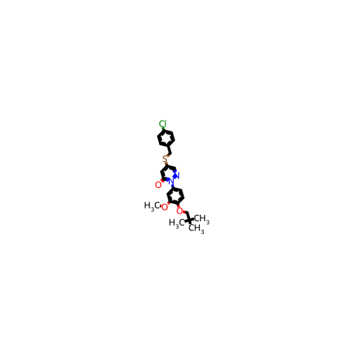 COc1cc(-n2ncc(SCc3ccc(Cl)cc3)cc2=O)ccc1OCC(C)(C)C